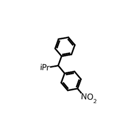 CC(C)C(c1ccccc1)c1ccc([N+](=O)[O-])cc1